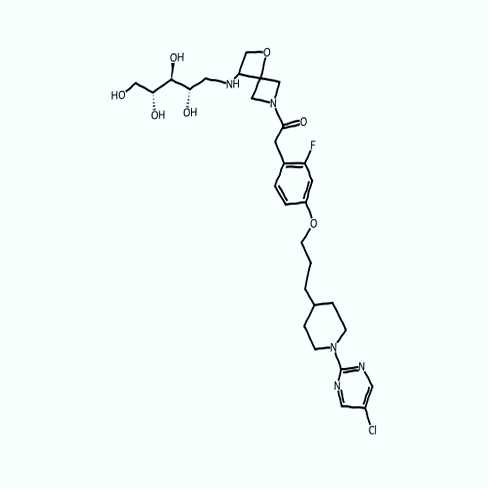 O=C(Cc1ccc(OCCCC2CCN(c3ncc(Cl)cn3)CC2)cc1F)N1CC2(C1)OCC2NC[C@H](O)[C@H](O)[C@H](O)CO